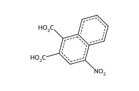 O=C(O)c1cc([N+](=O)[O-])c2ccccc2c1C(=O)O